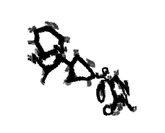 Cc1nc2n(c1C1CCN(S(=O)(=O)c3cnn(C)c3Cl)CC1)CCCC2